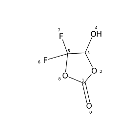 O=C1OC(O)C(F)(F)O1